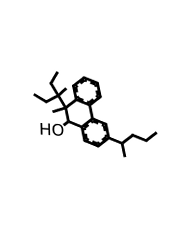 CCCC(C)c1ccc2c(c1)-c1ccccc1C(C)(C(C)(CC)CC)C2O